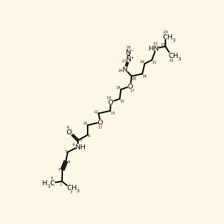 CC(C)C#CCNC(=O)CCOCCOCCOC(CCCNC(C)C)N=[N+]=[N-]